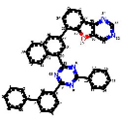 c1ccc(-c2cccc(-c3nc(-c4ccccc4)nc(-c4cc(-c5cccc6c5oc5cncnc56)cc5ccccc45)n3)c2)cc1